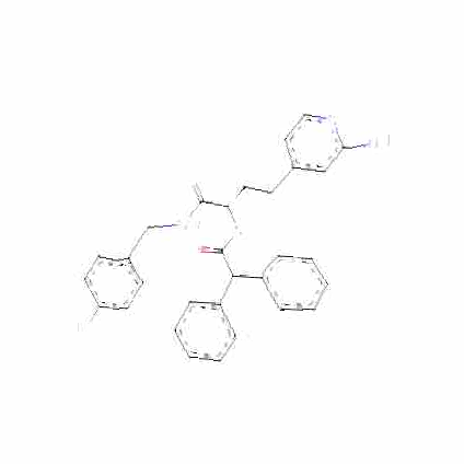 Nc1cc(CC[C@@H](NC(=O)C(c2ccccc2)c2ccccc2)C(=O)NCc2ccc(O)cc2)ccn1